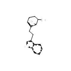 CCC1CC2C=CC1N(CCc1coc3ccccc13)C2